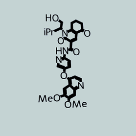 COc1cc2nccc(Oc3ccc(NC(=O)c4cc5c(n(C(CO)C(C)C)c4=O)CCCC5=O)nc3)c2cc1OC